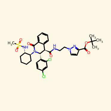 CC(C)(C)OC(=O)c1ccn(CCNC(=O)[C@@H]2c3ccccc3C(=O)N([C@H]3CCCC[C@@H]3NS(C)(=O)=O)[C@H]2c2ccc(Cl)cc2Cl)n1